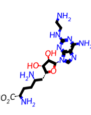 NCCNc1nc(N)c2ncn([C@@H]3O[C@H](C[C@@H](N)CC[C@H](N)C(=O)O)[C@H](O)[C@H]3O)c2n1